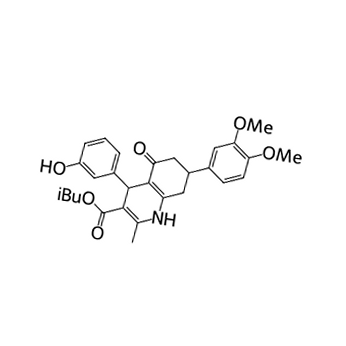 COc1ccc(C2CC(=O)C3=C(C2)NC(C)=C(C(=O)OCC(C)C)C3c2cccc(O)c2)cc1OC